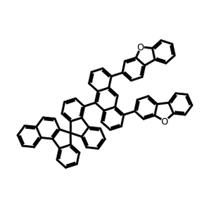 c1ccc2c(c1)-c1c(-c3c4cccc(-c5ccc6c(c5)oc5ccccc56)c4cc4c(-c5ccc6c(c5)oc5ccccc56)cccc34)cccc1C21c2ccccc2-c2c1ccc1ccccc21